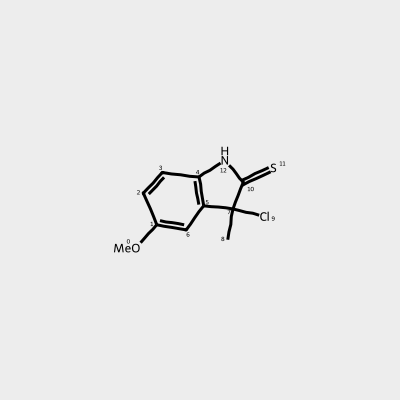 COc1ccc2c(c1)C(C)(Cl)C(=S)N2